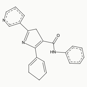 O=C(Nc1ccccc1)C1=C(C2=CCCC=C2)N=C(c2cccnc2)C1